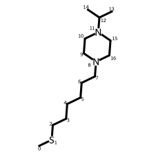 CSCCCCCCN1CCN(C(C)C)CC1